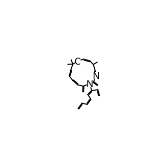 C=C/C=C\C=C(/C=C)N1C(=C)/C=C\C=C/C(C)(C)C/C=C\C(C)/C=N\C1=C